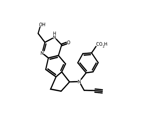 C#CCN(c1ccc(C(=O)O)cc1)C1CCc2cc3nc(CO)[nH]c(=O)c3cc21